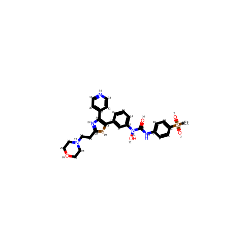 CCS(=O)(=O)c1ccc(NC(=O)N(O)c2cccc(-c3sc(CCN4CCOCC4)nc3-c3ccncc3)c2)cc1